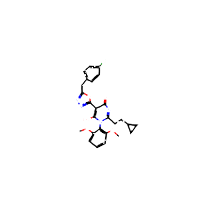 COc1cccc(OC)c1-n1c(CCC2CC2)nc(=O)c(-c2nnc(Cc3ccc(Cl)cc3)o2)c1O